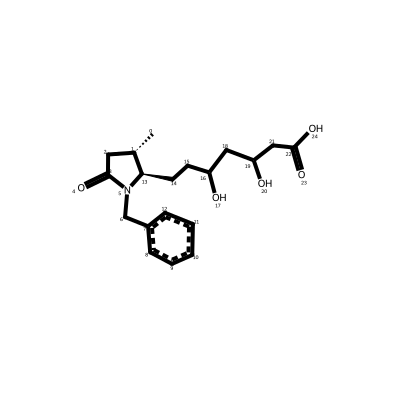 C[C@H]1CC(=O)N(Cc2ccccc2)[C@@H]1CCC(O)CC(O)CC(=O)O